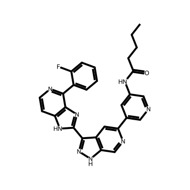 CCCCC(=O)Nc1cncc(-c2cc3c(-c4nc5c(-c6ccccc6F)nccc5[nH]4)n[nH]c3cn2)c1